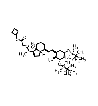 C=C1C(=CC=C2CCC[C@]3(C)C([C@H](C)OCC(=O)OC4CCC4)=CC[C@@H]23)C[C@@H](O[Si](C)(C)C(C)(C)C)C[C@@H]1O[Si](C)(C)C(C)(C)C